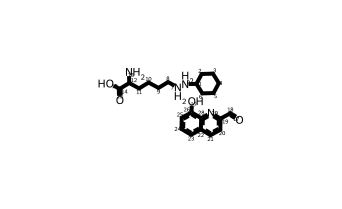 NC1CCCCC1.NCCCCC(N)C(=O)O.O=Cc1ccc2cccc(O)c2n1